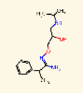 CC(C)NCC(O)CON=C(N)C(C)c1ccccc1